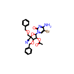 CC(=O)OC1C(n2cc(Br)c(N)nc2=O)OC(C#N)(COCc2ccccc2)C1OCc1ccccc1